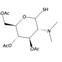 CC(=O)OC[C@H]1OC(S)[C@H](N(C)C)[C@@H](OC(C)=O)[C@@H]1OC(C)=O